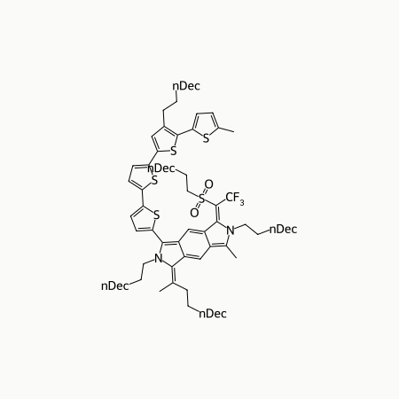 CCCCCCCCCCCC/C(C)=c1\c2cc3c(C)n(CCCCCCCCCCCC)/c(=C(\C(F)(F)F)S(=O)(=O)CCCCCCCCCCCC)c3cc2c(-c2ccc(-c3ccc(-c4cc(CCCCCCCCCCCC)c(-c5ccc(C)s5)s4)s3)s2)n1CCCCCCCCCCCC